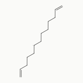 C=CCCC[CH]CCCCCC=C